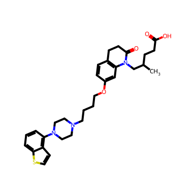 CC(CCC(=O)O)CN1C(=O)CCc2ccc(OCCCCN3CCN(c4cccc5sccc45)CC3)cc21